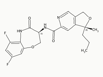 CCC[C@@]1(C)OCc2cnc(C(=O)N[C@H]3COc4cc(F)cc(F)c4NC3=O)cc21